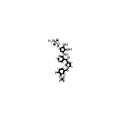 NS(=O)(=O)OC[C@H]1C[C@@H](Nc2ncncc2C(=O)c2ccn(Cc3ccc(F)c(OC(F)(F)F)c3)n2)[C@H](O)[C@@H]1O